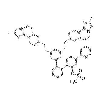 Cc1cn2ccc3cc(CCc4cc(CCc5ccc6c(ccn7cc(C)nc67)c5)cc(-c5ccccc5-c5ccc(-c6ccccn6)cc5OS(=O)(=O)C(F)(F)F)c4)ccc3c2n1